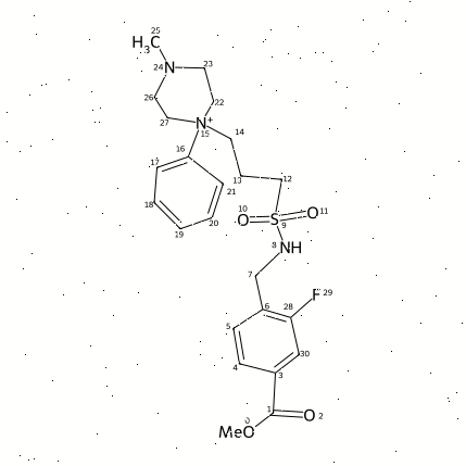 COC(=O)c1ccc(CNS(=O)(=O)CCC[N+]2(c3ccccc3)CCN(C)CC2)c(F)c1